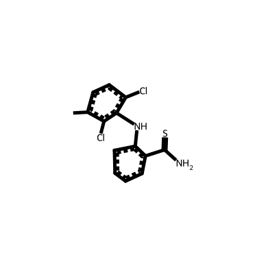 Cc1ccc(Cl)c(Nc2ccccc2C(N)=S)c1Cl